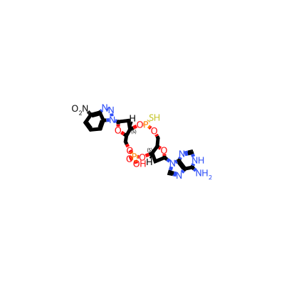 NC1NC=Nc2c1ncn2C1C[C@@H]2OP(=O)(O)OCC3OC(n4nnc5c([N+](=O)[O-])cccc54)C[C@@H]3OP(S)OCC2O1